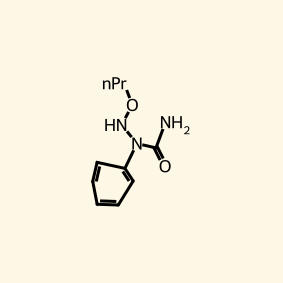 CCCONN(C(N)=O)c1ccccc1